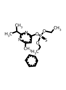 CCOP(=S)(OCC)Oc1cc(C)nc(C(C)C)n1.[c]1ccccc1